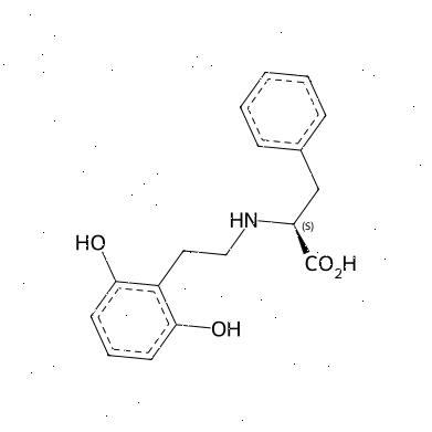 O=C(O)[C@H](Cc1ccccc1)NCCc1c(O)cccc1O